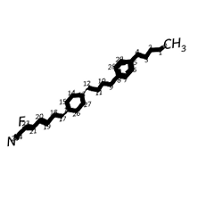 CCCCCc1ccc(CCCC[C@H]2CC[C@H](CCC=CC=C(F)C#N)CC2)cc1